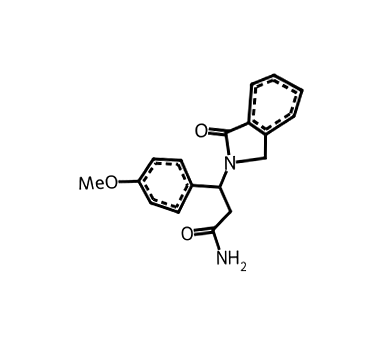 COc1ccc(C(CC(N)=O)N2Cc3ccccc3C2=O)cc1